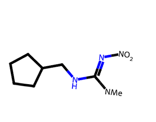 CNC(=N[N+](=O)[O-])NCC1CCCC1